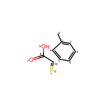 Cc1ccccc1.O=C(O)C=S